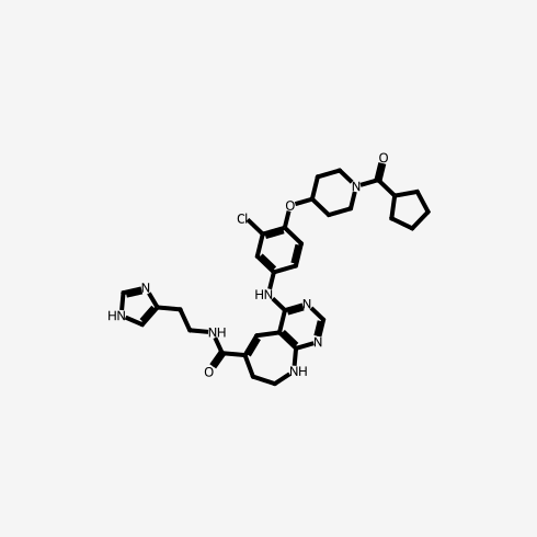 O=C(NCCc1c[nH]cn1)C1=Cc2c(ncnc2Nc2ccc(OC3CCN(C(=O)C4CCCC4)CC3)c(Cl)c2)NCC1